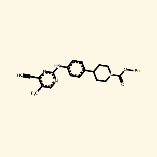 C#Cc1nc(Nc2ccc(C3CCN(C(=O)OC(C)(C)C)CC3)cc2)ncc1C(F)(F)F